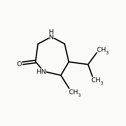 CC(C)C1CNCC(=O)NC1C